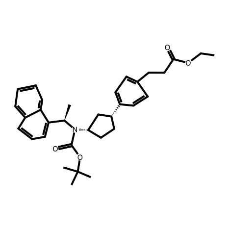 CCOC(=O)CCc1ccc([C@@H]2CC[C@H](N(C(=O)OC(C)(C)C)[C@H](C)c3cccc4ccccc34)C2)cc1